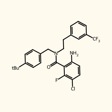 CC(C)(C)c1ccc(CN(CCc2cccc(C(F)(F)F)c2)C(=O)c2c(N)ccc(Cl)c2F)cc1